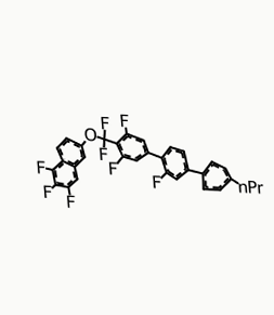 CCCc1ccc(-c2ccc(-c3cc(F)c(C(F)(F)Oc4ccc5c(F)c(F)c(F)cc5c4)c(F)c3)c(F)c2)cc1